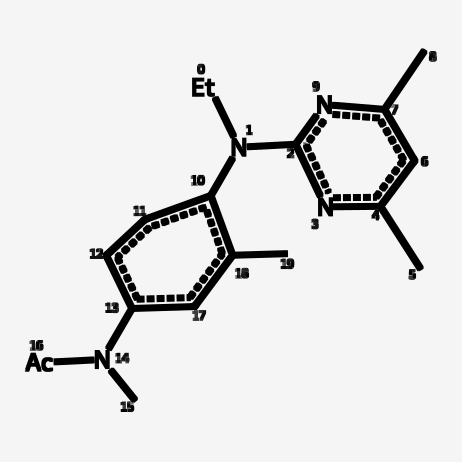 CCN(c1nc(C)cc(C)n1)c1ccc(N(C)C(C)=O)cc1C